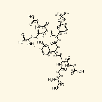 N[C@H](CCC(=O)N[C@@H](CSC(CC(=O)CC(SC[C@H](NC(=O)CC[C@H](N)C(=O)O)C(=O)NCC(=O)O)c1cncc(O)n1)c1cncc(OC(F)(F)F)n1)C(=O)NCC(=O)O)C(=O)O